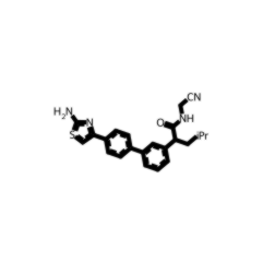 CC(C)CC(C(=O)NCC#N)c1cccc(-c2ccc(-c3csc(N)n3)cc2)c1